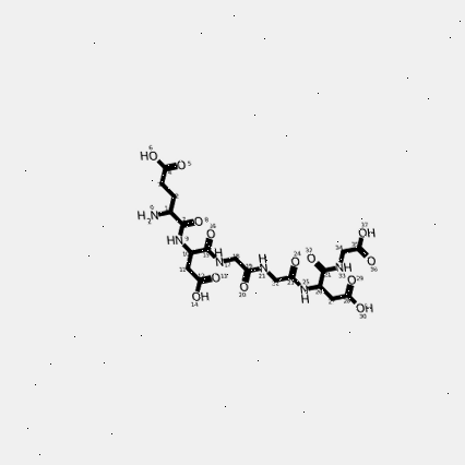 NC(CCC(=O)O)C(=O)NC(CC(=O)O)C(=O)NCC(=O)NCC(=O)NC(CC(=O)O)C(=O)NCC(=O)O